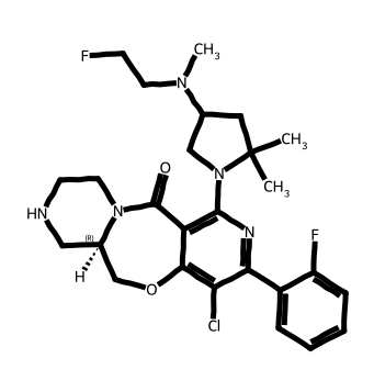 CN(CCF)C1CN(c2nc(-c3ccccc3F)c(Cl)c3c2C(=O)N2CCNC[C@@H]2CO3)C(C)(C)C1